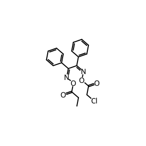 CCC(=O)O/N=C(\C(=N/OC(=O)CCl)c1ccccc1)c1ccccc1